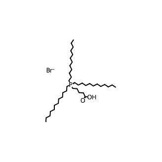 CCCCCCCCCCCC[P+](CCCCCCCCCCCC)(CCCCCCCCCCCC)CCCCC(=O)O.[Br-]